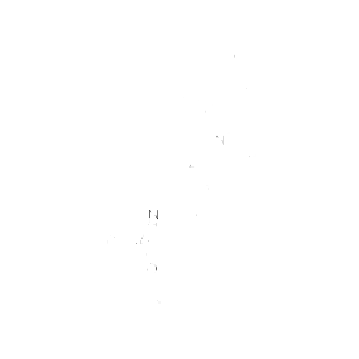 CC(C)(C)OC(=O)NCC1CCN(C(=O)CS)C1